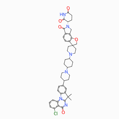 CC1(C)c2cc(C3CCN(C4CCC(N5CCC6(CC5)COc5c6ccc6c5CN([C@H]5CCC(=O)NC5=O)C6=O)CC4)CC3)ccc2-n2c1nc(=O)c1c(Cl)cccc12